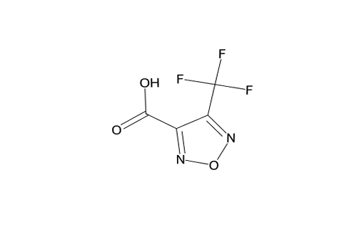 O=C(O)c1nonc1C(F)(F)F